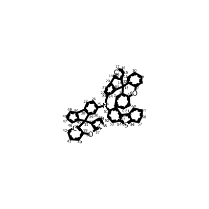 c1ccc2c(c1)Oc1ccccc1C21c2ccccc2-c2ccc(N(c3ccc4c(c3)C3(c5ccccc5Oc5ccccc53)c3ccccc3-4)c3ccc4sc5ccccc5c4c3)cc21